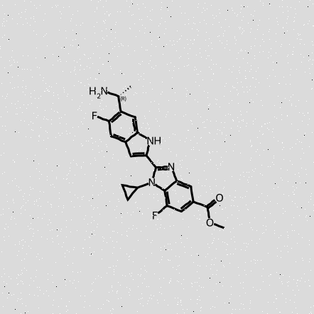 COC(=O)c1cc(F)c2c(c1)nc(-c1cc3cc(F)c([C@@H](C)N)cc3[nH]1)n2C1CC1